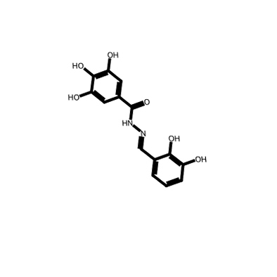 O=C(N/N=C/c1cccc(O)c1O)c1cc(O)c(O)c(O)c1